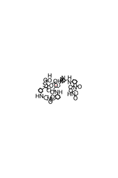 O=C(O)COc1c(C(=O)O)sc(-c2cccc(NC3CCN(S(=O)(=O)Cc4cccc(NC(=O)CCCCCn5cc(CNc6cccc7c6C(=O)N(C6CCC(=O)NC6=O)C7=O)nn5)c4)CC3)c2)c1Cl